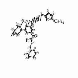 Cc1ccc(C=NNc2cc(C(=O)NCCc3ccccc3)cc3c2CCc2ccncc2-3)o1